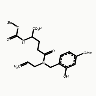 C=CCN(Cc1ccc(OC)cc1O)C(=O)CCC(NC(=O)OC(C)(C)C)C(=O)O